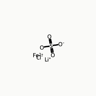 O=S(=O)([O-])[O-].[Cl-].[Fe+2].[Li+]